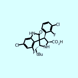 CC(C)(C)C[C@H]1N[C@H](C(=O)O)[C@H](c2cccc(Cl)c2F)C12C(=O)Nc1cc(Cl)cc(F)c12